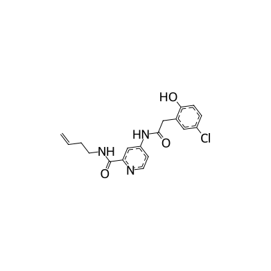 C=CCCNC(=O)c1cc(NC(=O)Cc2cc(Cl)ccc2O)ccn1